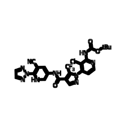 CC(C)(C)OC(=O)Nc1nccc(-n2ncc(C(=O)NC3=CC(C#N)=C(n4nccn4)NC3)c2C(F)(F)F)c1Cl